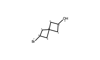 OC1CC2(C1)CC(Br)C2